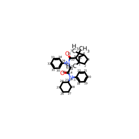 CC12CCC(C1)C(C)(C)C2C(=O)N(CC(=O)N(c1ccccc1)C1CCCCC1)c1ccccc1